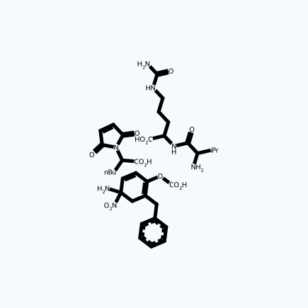 CC(C)C(N)C(=O)NC(CCCNC(N)=O)C(=O)O.CCCCC(C(=O)O)N1C(=O)C=CC1=O.NC1([N+](=O)[O-])C=CC(OC(=O)O)=C(Cc2ccccc2)C1